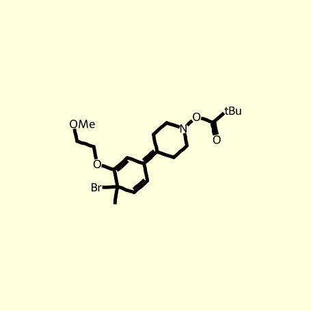 COCCOC1=CC(=C2CCN(OC(=O)C(C)(C)C)CC2)C=CC1(C)Br